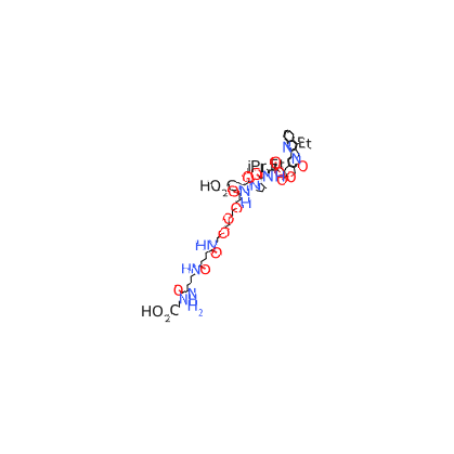 CCc1c2c(nc3ccccc13)-c1cc3c(c(=O)n1C2)COC(=O)[C@@]3(CC)OC(=O)[C@@H](NC(=O)[C@@H]1CCCN1C(=O)[C@H](CC(=O)O)NC(=O)CCOCCOCCOCCNC(=O)CCCC(=O)NCCCC[C@H](N)C(=O)NCCC(=O)O)C(C)C